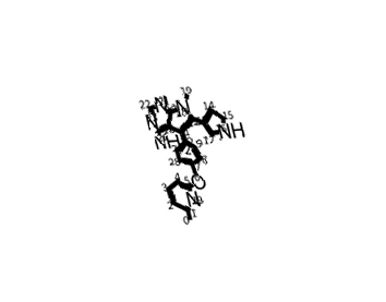 Cc1cccc(Oc2ccc(-c3c(C4=CCNC4)n(C)c4ncnc(N)c34)cc2)n1